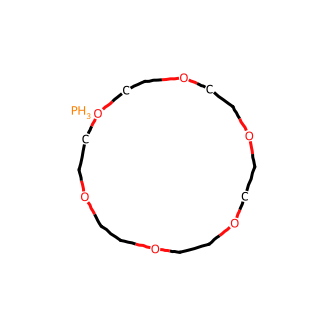 C1COCCOCCOCCOCCOCCO1.P